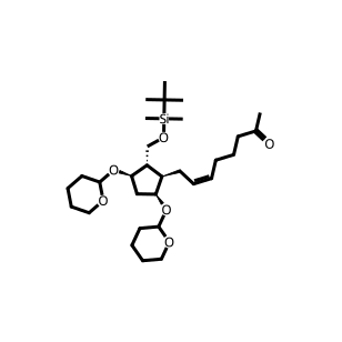 CC(=O)CCC/C=C\C[C@@H]1[C@@H](CO[Si](C)(C)C(C)(C)C)[C@H](OC2CCCCO2)C[C@@H]1OC1CCCCO1